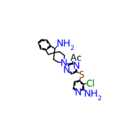 CC(=O)c1nc(Sc2ccnc(N)c2Cl)cnc1N1CCC2(CC1)Cc1ccccc1[C@H]2N